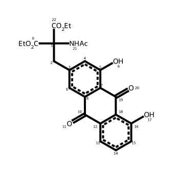 CCOC(=O)C(Cc1cc(O)c2c(c1)C(=O)c1cccc(O)c1C2=O)(NC(C)=O)C(=O)OCC